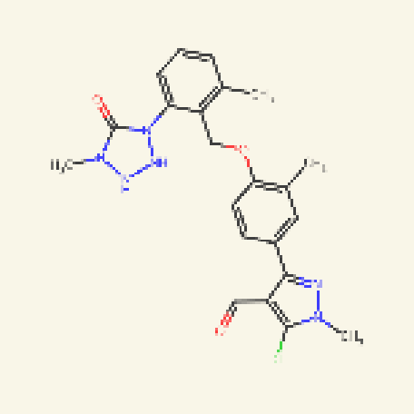 Cc1cc(-c2nn(C)c(Cl)c2C=O)ccc1OCc1c(C)cccc1N1NNN(C)C1=O